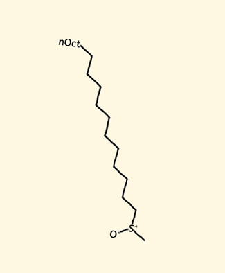 CCCCCCCCCCCCCCCCCCC[S+](C)[O-]